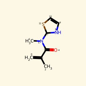 C=C(C)C(=O)N(C)C1NC=CS1